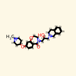 CN1CCC(Oc2ccc3c(c2)OCCN(CC(O)CN2CCc4ccccc4C2)C3=O)CC1